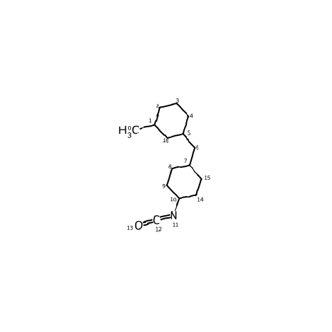 CC1CCCC(CC2CCC(N=C=O)CC2)C1